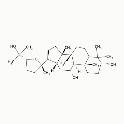 CC(C)(O)[C@H]1CC[C@@](C)([C@H]2CC[C@@]3(C)[C@@H]2C[C@@H](O)[C@@H]2[C@@]4(C)CC[C@@H](O)C(C)(C)C4CC[C@]23C)O1